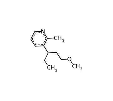 CCC(CCOC)c1cccnc1C